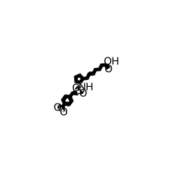 O=C(O)CCCC=CCC1CCCC1NS(=O)(=O)C=Cc1ccc([N+](=O)[O-])cc1